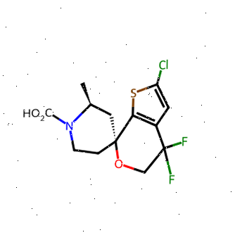 C[C@H]1C[C@@]2(CCN1C(=O)O)OCC(F)(F)c1cc(Cl)sc12